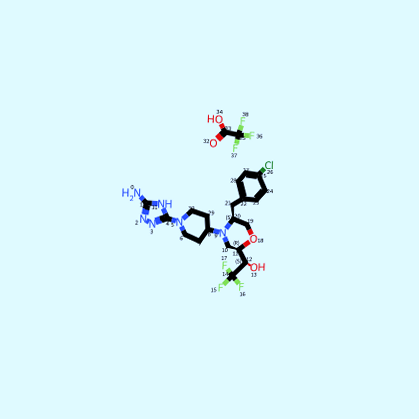 Nc1nnc(N2CCC(N3C[C@H]([C@H](O)C(F)(F)F)OC[C@@H]3Cc3ccc(Cl)cc3)CC2)[nH]1.O=C(O)C(F)(F)F